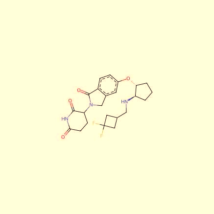 O=C1CCC(N2Cc3cc(O[C@@H]4CCC[C@H]4NCC4CC(F)(F)C4)ccc3C2=O)C(=O)N1